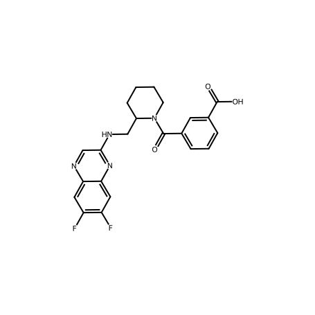 O=C(O)c1cccc(C(=O)N2CCCCC2CNc2cnc3cc(F)c(F)cc3n2)c1